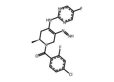 C[C@H]1CC(Nc2ncc(F)cn2)=C(N=N)CN1C(=O)c1ccc(Cl)cc1F